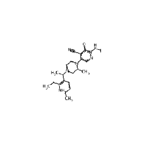 CC/C=C\C(=C(/N)CC)C(C)N1CCN(c2cnn(PI)c(=O)c2C#N)C(C)C1